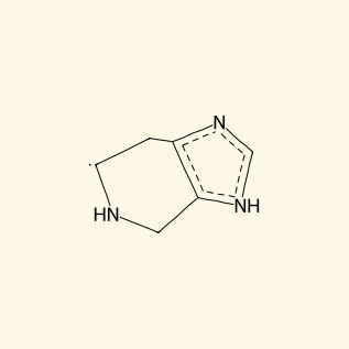 [CH]1Cc2nc[nH]c2CN1